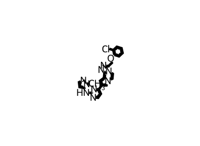 Cn1nccc1Nc1nccc(-c2cc3c4nnc(COc5ccccc5Cl)n4ccn3c2)n1